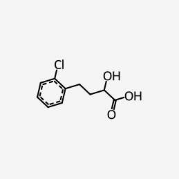 O=C(O)C(O)CCc1ccccc1Cl